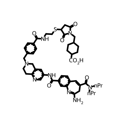 CCCN(CCC)C(=O)C1=Cc2ccc(C(=O)Nc3cnc4c(c3)CN(Cc3ccc(C(=O)NCCSC5CC(=O)N(CC6CCC(C(=O)O)CC6)C5=O)cc3)CC4)cc2N=C(N)C1